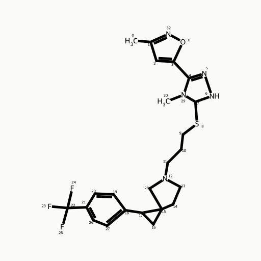 Cc1cc(C2=NNC(SCCCN3CCC4(CC4c4ccc(C(F)(F)F)cc4)C3)N2C)on1